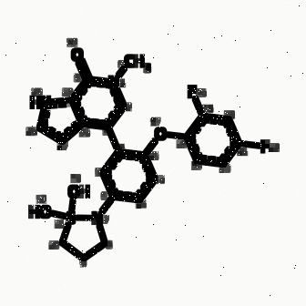 Cn1cc(-c2cc(N3CCCS3(O)O)ccc2Oc2ccc(F)cc2F)c2cc[nH]c2c1=O